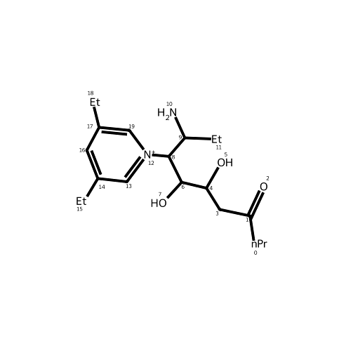 CCCC(=O)CC(O)C(O)C(C(N)CC)[n+]1cc(CC)cc(CC)c1